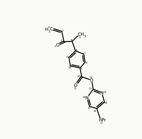 C=CC(=O)C(C)c1ccc(C(=O)Oc2ncc(CCC)cn2)cc1